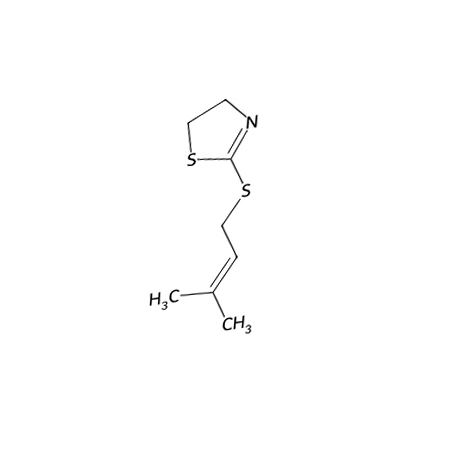 CC(C)=CCSC1=NCCS1